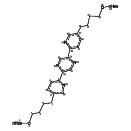 CCCCCCOCCCCc1ccc(-c2cnc(-c3ccc(CCCCOCCCCCC)cn3)cn2)nc1